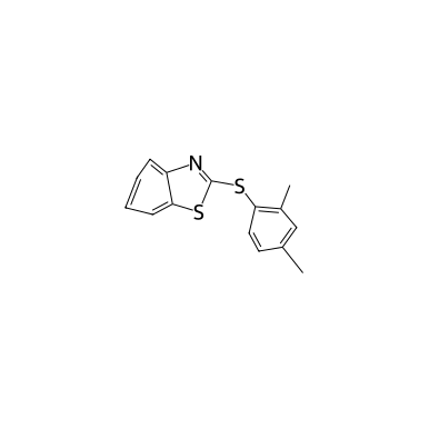 Cc1ccc(Sc2nc3ccccc3s2)c(C)c1